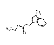 CCOC(=O)CCc1cn(C)c2c1C=CCC2